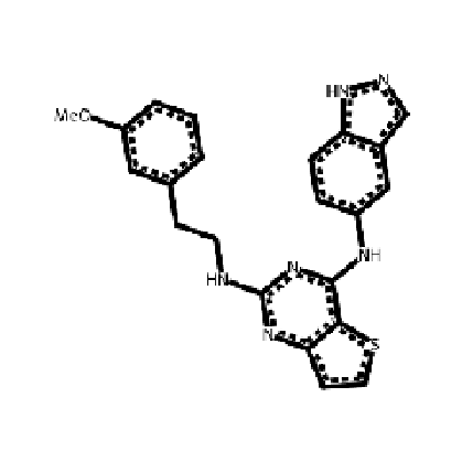 COc1cccc(CCNc2nc(Nc3ccc4[nH]ncc4c3)c3sccc3n2)c1